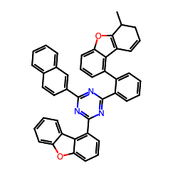 CC1CC=Cc2c1oc1cccc(-c3ccccc3-c3nc(-c4ccc5ccccc5c4)nc(-c4cccc5oc6ccccc6c45)n3)c21